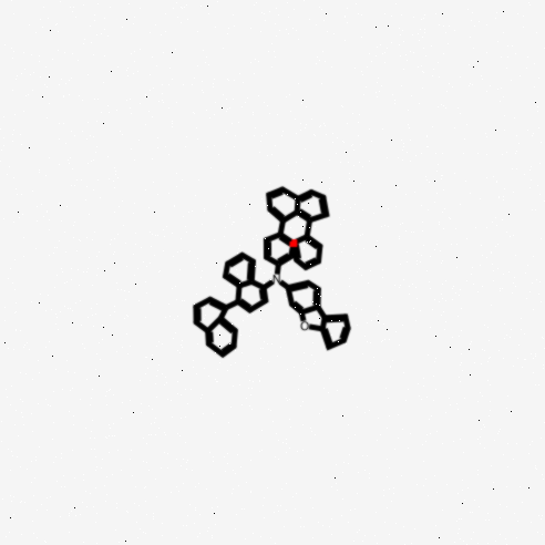 c1ccc(-c2cccc3cccc(-c4ccc(N(c5ccc6c(c5)oc5ccccc56)c5ccc(-c6cccc7ccccc67)c6ccccc56)cc4)c23)cc1